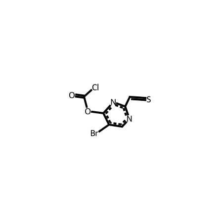 O=C(Cl)Oc1nc(C=S)ncc1Br